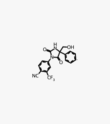 N#Cc1ccc(N2C(=O)NC(CO)(c3cc[c]cc3)C2=O)cc1C(F)(F)F